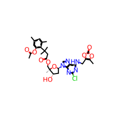 CC(=O)Oc1cc(C)cc(C)c1C(C)(C)CC(=O)OC[C@@]1(C)O[C@@H](n2cnc3c(NCc4oc(=O)oc4C)nc(Cl)nc32)C[C@@H]1O